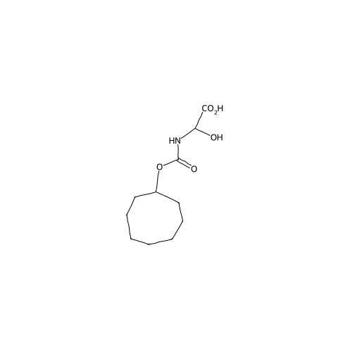 O=C(NC(O)C(=O)O)OC1CCCCCCC1